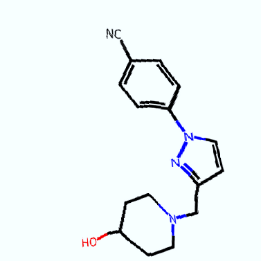 N#Cc1ccc(-n2ccc(CN3CCC(O)CC3)n2)cc1